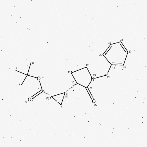 CC(C)(C)OC(=O)[C@H]1C[C@H]1C1CCN(Cc2ccccc2)C1=O